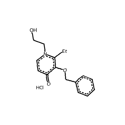 CCc1c(OCc2ccccc2)c(=O)ccn1CCO.Cl